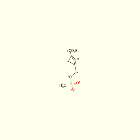 CCOC(=O)C12CC(COS(C)(=O)=O)(C1)C2